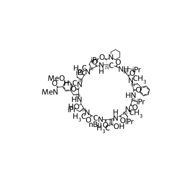 CCCCN1CC(=O)N(C)[C@@H](CC(C)C)C(O)N[C@@H](Cc2ccc(OC)c(C(=O)NC)c2)C(=O)N(C)[C@@H](CC(C)C)C(=O)N(C)[C@@H](CC(C)C)C(=O)N[C@H](C(=O)N2CCCCC2)CC(=O)N[C@H](CC(C)C)C(=O)N(C)[C@@H](Cc2ccccc2)C(=O)N[C@@H](C(C)C)C(=O)N(C)[C@@H](CC(C)C)C(=O)N[C@@H]([C@@H](C)O)C1=O